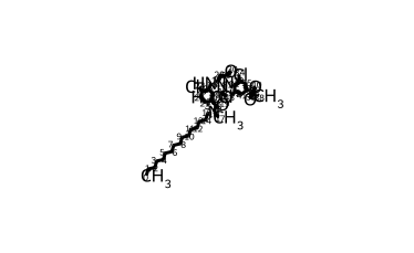 CCCCCCCCCCCCCCCCN(C)C(=O)c1ccc(Cl)c(Nc2cc(=O)n(-c3c(Cl)cc(S(C)(=O)=O)cc3Cl)n2C(C)=O)c1